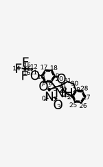 CN1C(=O)NC2(C1=O)c1cc(OCC(F)(F)F)ccc1OC21CCc2ccccc2CC1